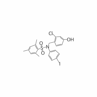 Cc1cc(C)c(S(=O)(=O)N(Cc2ccc(O)cc2Cl)c2ccc(I)cc2)c(C)c1